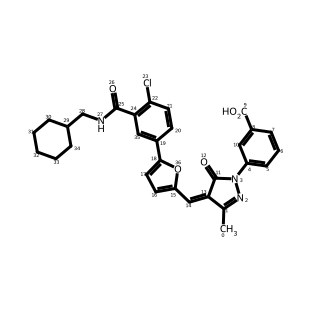 CC1=NN(c2cccc(C(=O)O)c2)C(=O)/C1=C\c1ccc(-c2ccc(Cl)c(C(=O)NCC3CCCCC3)c2)o1